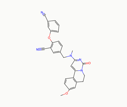 COc1ccc2c(c1)CCn1c-2cc(N(C)Cc2ccc(Oc3cccc(C#N)c3)c(C#N)c2)nc1=O